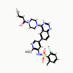 COc1ncc(-c2ccc3ncnc(N4CCN(C(=O)/C=C/C(C)=O)CC4)c3c2)cc1NS(=O)(=O)c1c(C)cccc1F